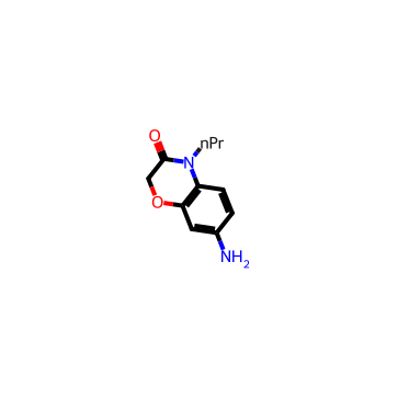 CCCN1C(=O)COc2cc(N)ccc21